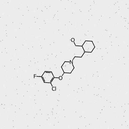 [O]CC1CCCCC1CCN1CCC(Oc2ccc(F)cc2Cl)CC1